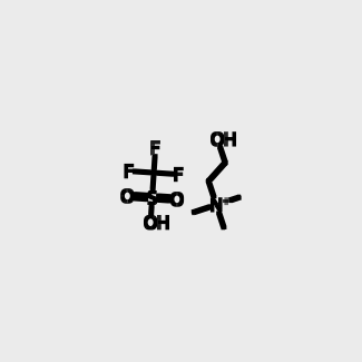 C[N+](C)(C)CCO.O=S(=O)(O)C(F)(F)F